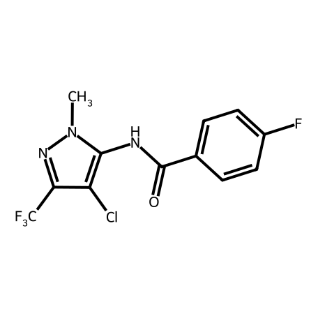 Cn1nc(C(F)(F)F)c(Cl)c1NC(=O)c1ccc(F)cc1